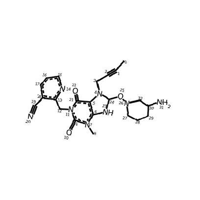 CC#CCN1c2c(n(C)c(=O)n(Cc3ncccc3C#N)c2=O)NC1ON1CCCC(N)C1